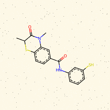 CC1Sc2ccc(C(=O)Nc3cccc(S)c3)cc2N(C)C1=O